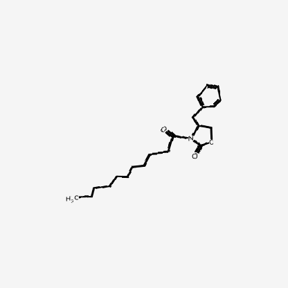 CCCCCCCCCCC(=O)N1C(=O)OCC1Cc1ccccc1